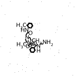 Cc1ccccc1NC(=O)CN1C[C@@H](C)N(S(=O)(=O)c2ccccc2C(=O)NCCN)[C@@H](C)C1